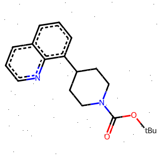 CC(C)(C)OC(=O)N1CCC(c2cccc3cccnc23)CC1